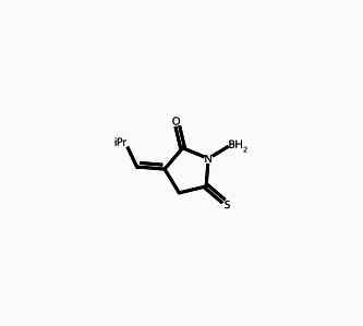 BN1C(=O)/C(=C\C(C)C)CC1=S